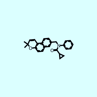 CC1(C)C=Cc2c(ccc3cc(CN(C(=O)C4CC4)c4ccccc4)ccc23)O1